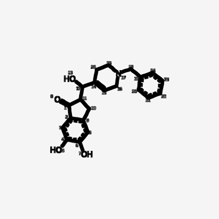 O=C1c2cc(O)c(O)cc2CC1C(O)C1=CCN(Cc2ccccc2)CC1